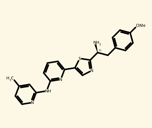 COc1ccc(C[C@H](N)c2ncc(-c3cccc(Nc4cc(C)ccn4)n3)s2)cc1